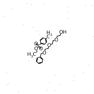 CCOS(=O)(=O)c1ccc(C)cc1.OCCOCCOCCOCc1ccccc1